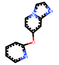 c1ccc(Oc2ccn3ccnc3c2)nc1